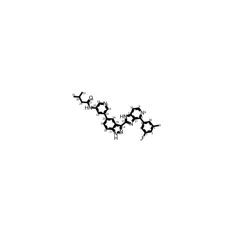 Cc1cc(F)cc(-c2nccc3[nH]c(-c4n[nH]c5ccc(-c6cncc(NC(=O)CC(C)C)c6)cc45)nc23)c1